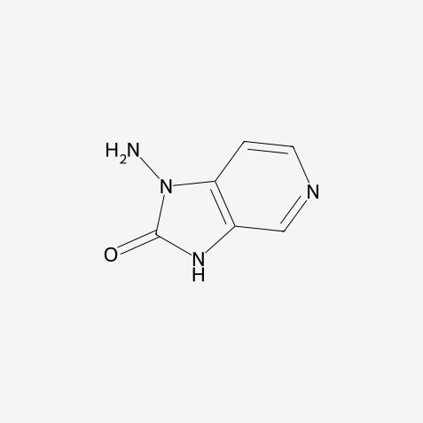 Nn1c(=O)[nH]c2cnccc21